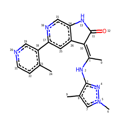 CC(Nc1nn(C)cc1C)=C1C(=O)Nc2cnc(-c3cnccc3C)cc21